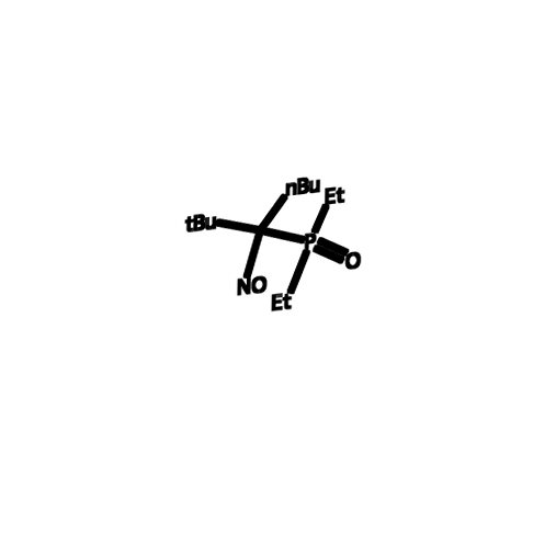 CCCCC(N=O)(C(C)(C)C)P(=O)(CC)CC